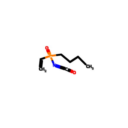 C=CP(=O)(CCCC)N=C=O